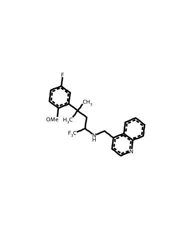 COc1ccc(F)cc1C(C)(C)CC(NCc1ccnc2ccccc12)C(F)(F)F